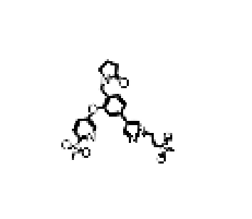 CS(=O)(=O)CCn1cc(-c2ccc(CN3CCCC3=O)c(Oc3ccc(S(C)(=O)=O)nc3)c2)cn1